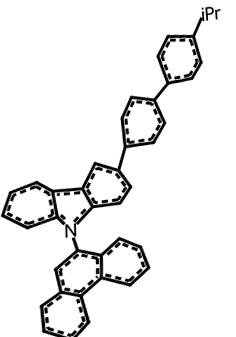 CC(C)c1ccc(-c2ccc(-c3ccc4c(c3)c3ccccc3n4-c3cc4ccccc4c4ccccc34)cc2)cc1